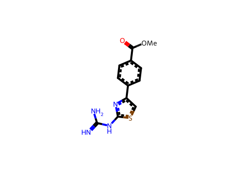 COC(=O)c1ccc(-c2csc(NC(=N)N)n2)cc1